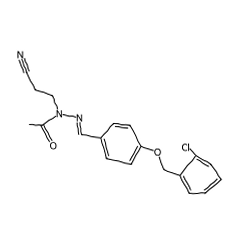 CC(=O)N(CCC#N)N=Cc1ccc(OCc2ccccc2Cl)cc1